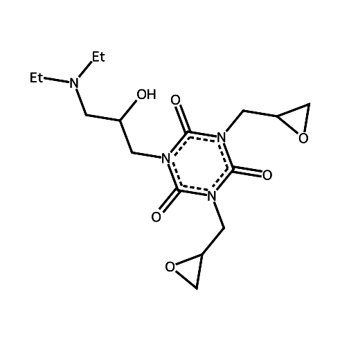 CCN(CC)CC(O)Cn1c(=O)n(CC2CO2)c(=O)n(CC2CO2)c1=O